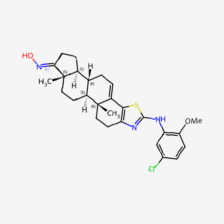 COc1ccc(Cl)cc1Nc1nc2c(s1)C1=CC[C@@H]3[C@H](CC[C@]4(C)/C(=N/O)CC[C@@H]34)[C@@]1(C)CC2